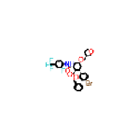 O=C(OCc1ccccc1)[C@@H]1[C@@H](c2ccc(Br)cc2)C[C@@H](OC[C@H]2CCOC2)C[C@H]1C(=O)Nc1ccc(C(F)(F)F)cc1F